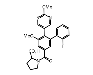 COc1ncc(-c2c(OC)cc(C(=O)N3CCCC3C(=O)O)cc2-c2ccccc2F)cn1